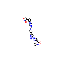 CN(C)C(=O)c1cc2cnc(Nc3ccc(C4CCN(CCN5CCN(c6cccc(C7CCC(=O)NC7=O)c6)CC5)CC4)cn3)nc2n1C1CCCC1